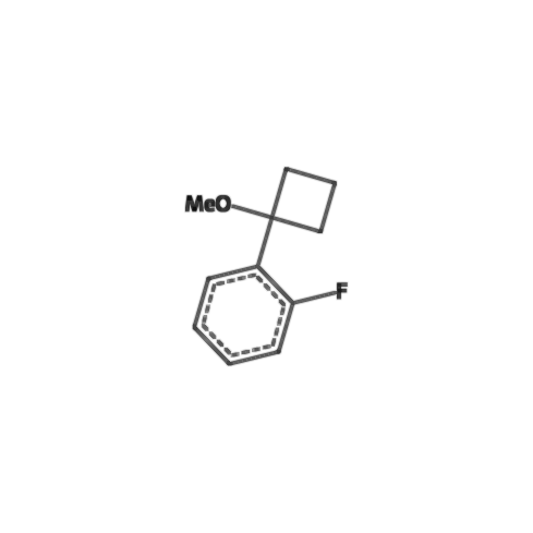 COC1(c2ccccc2F)CCC1